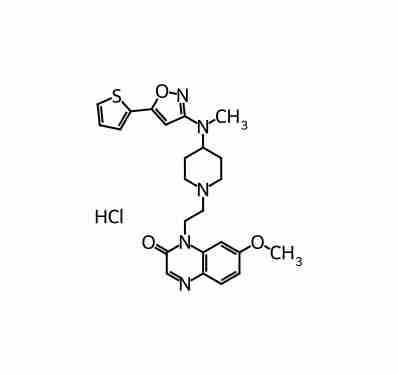 COc1ccc2ncc(=O)n(CCN3CCC(N(C)c4cc(-c5cccs5)on4)CC3)c2c1.Cl